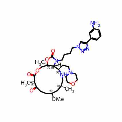 CO[C@H]1CCC(=O)[C@@H](C)C(=O)OC[C@@]2(C)OC(=O)N(CCCCn3cc(-c4cccc(N)c4)nn3)[C@@H]2[C@@H](CCN2CCOCC2)NC[C@H](C)C1